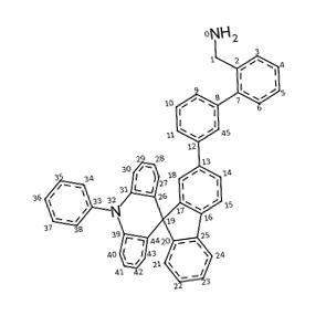 NCc1ccccc1-c1cccc(-c2ccc3c(c2)C2(c4ccccc4-3)c3ccccc3N(c3ccccc3)c3ccccc32)c1